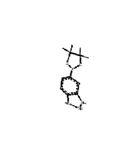 CC1(C)OB(c2ccc3c(c2)NNN3)OC1(C)C